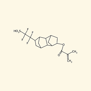 C=C(C)C(=O)OC1CC2CC1C1C3CC(C21)C(C(F)(F)C(F)(F)S(=O)(=O)O)C3